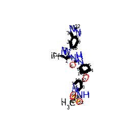 CC(C)c1cc(NC(=O)Nc2ccc(Oc3ccnc(NS(C)(=O)=O)c3)cc2)n(-c2ccc3ncncc3c2)n1